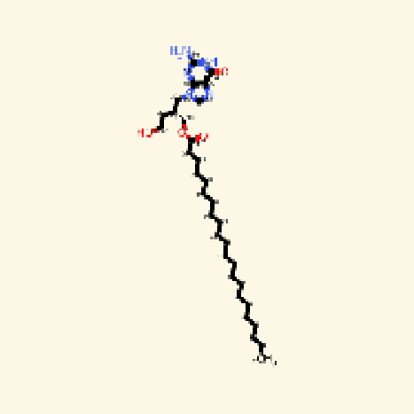 CCCCCCCCCCCCCCCCCCCCCC(=O)OC[C@H](CCO)Cn1cnc2c(=O)[nH]c(N)nc21